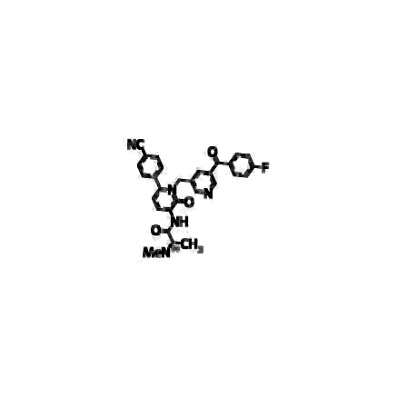 CN[C@H](C)C(=O)Nc1ccc(-c2ccc(C#N)cc2)n(Cc2cncc(C(=O)c3ccc(F)cc3)c2)c1=O